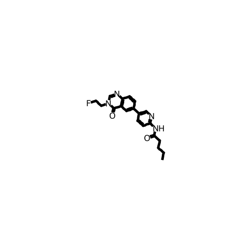 CCCCC(=O)Nc1ccc(-c2ccc3ncn(CCF)c(=O)c3c2)cn1